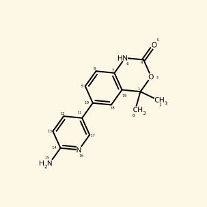 CC1(C)OC(=O)Nc2ccc(-c3ccc(N)nc3)cc21